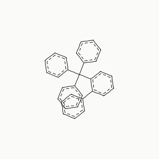 c1ccc(-c2ccccc2C(c2ccccc2)(c2ccccc2)c2ccccc2)cc1